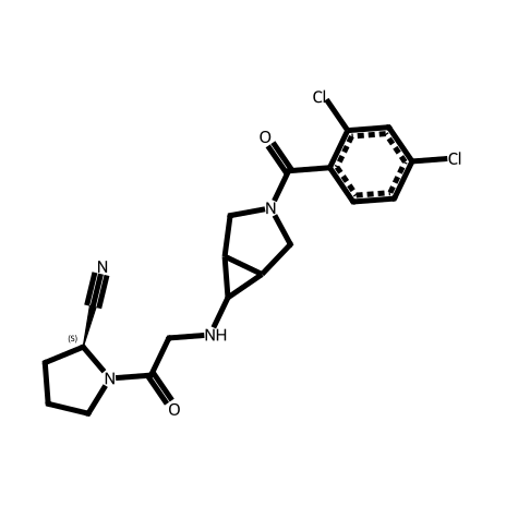 N#C[C@@H]1CCCN1C(=O)CNC1C2CN(C(=O)c3ccc(Cl)cc3Cl)CC21